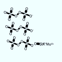 O=S(=O)([O-])OOS(=O)(=O)[O-].O=S(=O)([O-])OOS(=O)(=O)[O-].O=S(=O)([O-])OOS(=O)(=O)[O-].[K+].[Mo+4].[O]=[Sb+]